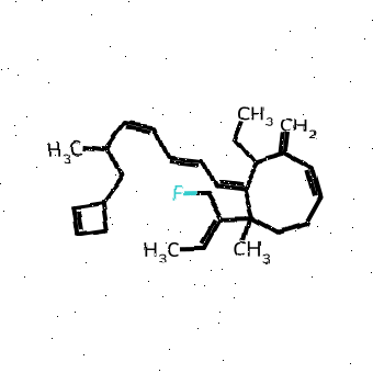 C=C1/C=C\CCC(C)(/C(=C/C)CF)/C(=C/C=C/C=C\C(C)CC2C=CC2)C1CC